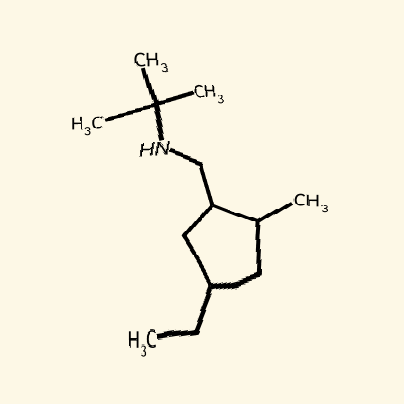 CCC1CC(C)C(CNC(C)(C)C)C1